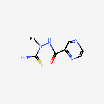 CC(C)(C)N(NC(=O)c1cnccn1)C(N)=S